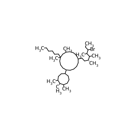 CCCCCCC1(C)CCCC(C2CCCC(C)C(C)C(C)CC2)CCCCC(CC[C@@H](C)C(C)C(C)C(Br)CC)CCCC(C)C1